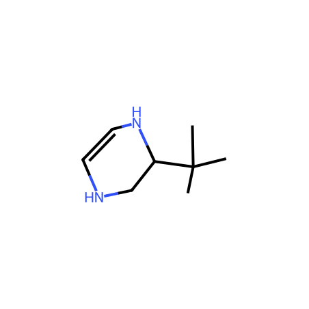 CC(C)(C)C1CNC=CN1